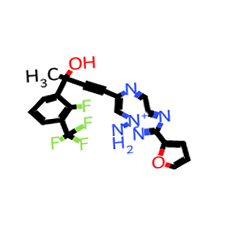 CC(O)(C#CC1=C[N+]2(N)N=C(c3ccco3)N=C2C=N1)c1cccc(C(F)(F)F)c1F